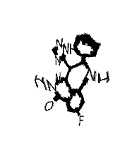 O=c1[nH]nc2c3c(cc(F)cc13)CNC(c1ccccc1)C2c1ncn[nH]1